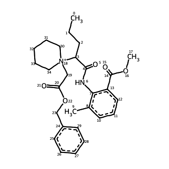 CCCC(C(=O)Nc1c(C)cccc1C(=O)OC)[N+]1(CC(=O)OCc2ccccc2)CCCCC1